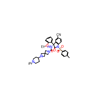 CCOc1ccccc1[C@]1(NC(=O)N2CC3(C2)CN(C2CCN(C(C)C)CC2)C3)C(=O)N(S(=O)(=O)c2ccc(C)cc2)c2ccc(C#N)cc21